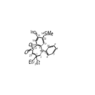 CCC1(CC)CN(c2ccccc2)c2cc(SC)c(O)cc2S(=O)(=O)C1